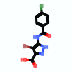 O=C(Nc1[nH]nc(C(=O)O)c1Br)c1ccc(Cl)cc1